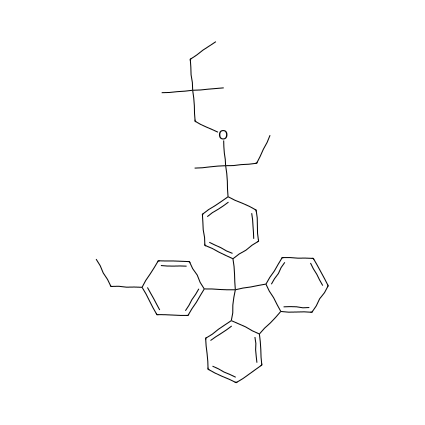 CCc1ccc(C2(c3ccc(C(C)(CC)OCC(C)(C)CC)cc3)c3ccccc3-c3ccccc32)cc1